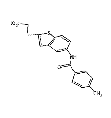 Cc1ccc(C(=O)Nc2ccc3sc(CCC(=O)O)cc3c2)cc1